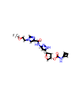 O=C(NC12CC(C1)C2)O[C@@H]1CO[C@H](c2cc(NC(=O)c3cn(CCOC(F)(F)F)cn3)n[nH]2)C1